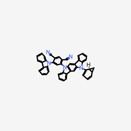 N#Cc1cc(C#N)c(-n2c3ccccc3c3cc4c(cc32)c2ccccc2n4C2=CC=CC3C[C@H]23)cc1-n1c2ccccc2c2ccccc21